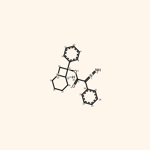 N=[N+]=C(C(=O)O[C@]1(c2ccccc2)CN2CCCC[C@@H]21)c1ccccc1